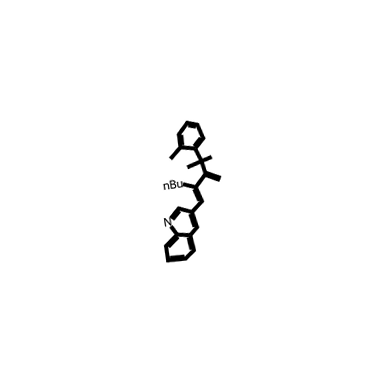 C=C(/C(=C/c1cnc2ccccc2c1)CCCC)C(C)(C)c1ccccc1C